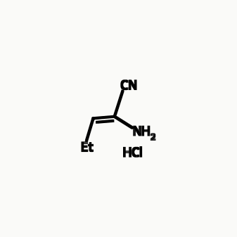 CCC=C(N)C#N.Cl